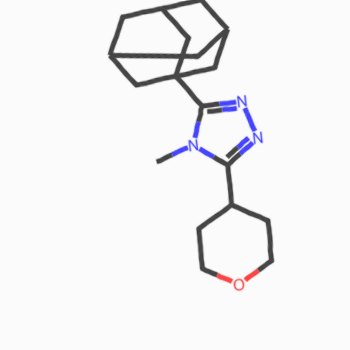 Cn1c(C2CCOCC2)nnc1C12CC3CC(CC(C3)C1)C2